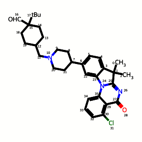 CC1(C)c2ccc(C3CCN(CC4CCC(C=O)(C(C)(C)C)CC4)CC3)cc2-n2c1nc(=O)c1c(Cl)cccc12